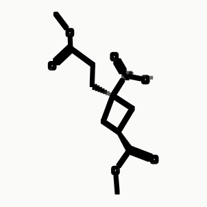 COC(=O)CC[C@]1([N+](=O)[O-])C[C@@H](C(=O)OC)C1